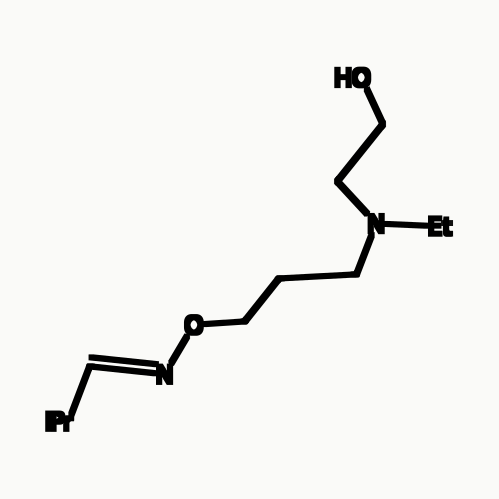 CCN(CCO)CCCO/N=C/C(C)C